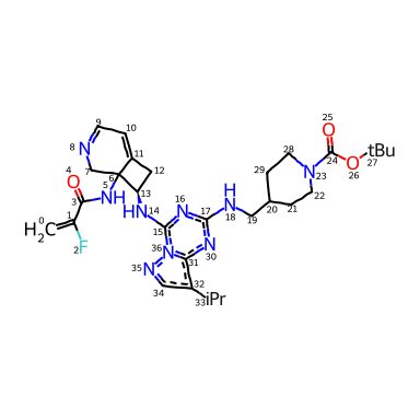 C=C(F)C(=O)NC12CN=CC=C1C[C@H]2Nc1nc(NCC2CCN(C(=O)OC(C)(C)C)CC2)nc2c(C(C)C)cnn12